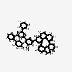 N#Cc1ccc(-c2ccccc2-c2nc(-c3ccccc3)nc(-c3cccc(-c4cc5ccc6cccc7c8cccc9ccc%10cccc(c(c4)c5c67)c%10c98)c3)n2)cc1